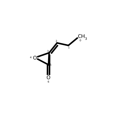 CCC=C1OC1=O